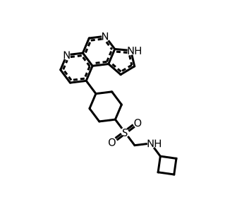 O=S(=O)(CNC1CCC1)C1CCC(c2ccnc3cnc4[nH]ccc4c23)CC1